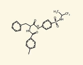 CC(NS(=O)(=O)c1ccc(NC(=O)C(Cc2ccccc2)NC(=O)c2ccc(F)cc2)cc1)C(F)(F)F